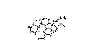 CCc1ccc(C2(c3cccc(-c4ccccc4F)c3)N=C(N)N(C)C2=O)nc1